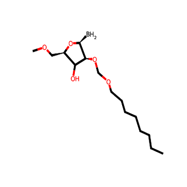 B[C@@H]1O[C@H](COC)C(O)[C@@H]1OCOCCCCCCCC